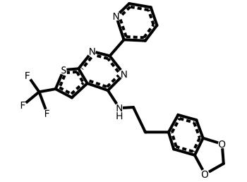 FC(F)(F)c1cc2c(NCCc3ccc4c(c3)OCO4)nc(-c3ccccn3)nc2s1